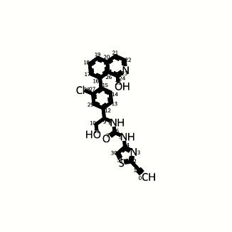 C#Cc1nc(NC(=O)NC(CO)c2ccc(-c3cccc4ccnc(O)c34)c(Cl)c2)cs1